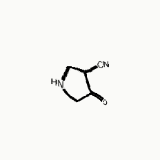 N#CC1CNCC1=O